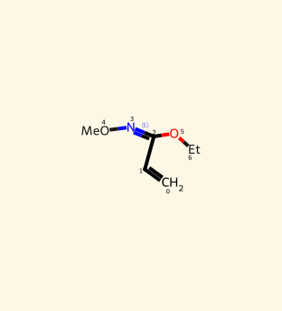 C=C/C(=N\OC)OCC